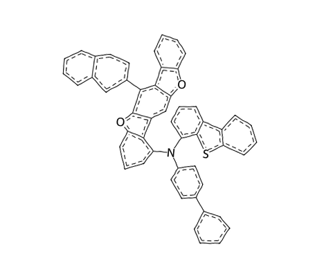 c1ccc(-c2ccc(N(c3cccc4c3sc3ccccc34)c3cccc4oc5c(-c6ccc7ccccc7c6)c6c(cc5c34)oc3ccccc36)cc2)cc1